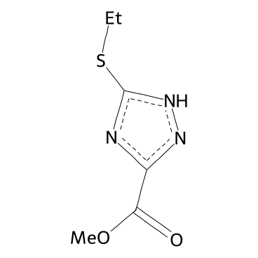 CCSc1nc(C(=O)OC)n[nH]1